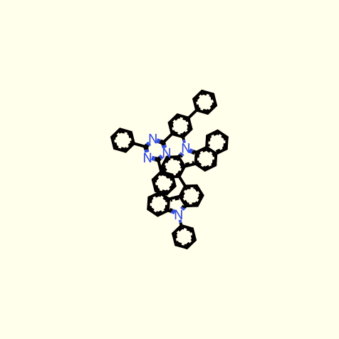 c1ccc(-c2ccc(-c3nc(-c4ccccc4)nc(-c4ccccc4)n3)c(-n3c4cccc(-c5cccc6c5c5ccccc5n6-c5ccccc5)c4c4ccc5ccccc5c43)c2)cc1